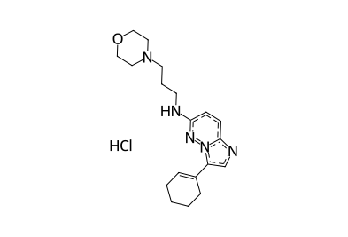 C1=C(c2cnc3ccc(NCCCN4CCOCC4)nn23)CCCC1.Cl